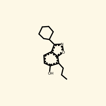 CCCc1c(O)ccc2c(C3CCCCC3)noc12